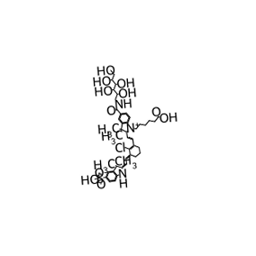 CC1(C)C(/C=C/C2=C(Cl)C(=C/C=C3/Nc4ccc(S(=O)(=O)O)cc4C3(C)C)/CCC2)=[N+](CCCCCC(=O)O)c2ccc(C(=O)NCC(O)C(O)C(O)C(O)CO)cc21